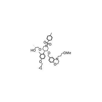 COCCCN1CCOc2ccc(CO[C@H]3CN(S(=O)(=O)c4ccc(C)cc4)C[C@@H](OC[C@@H](C)O)[C@@H]3c3ccc(OCC4CC4)cc3C)cc21